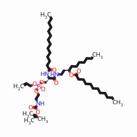 C=CCOP(=O)(OCCNC(=O)OC(C)(C)C)OC[C@H](NC(=O)CCCCCCCCCCCCC)C(=O)NCC[C@@H](CCCCCCC)OC(=O)CCCCCCCCCCC